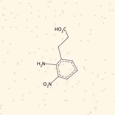 Nc1c(CCC(=O)O)cccc1[N+](=O)[O-]